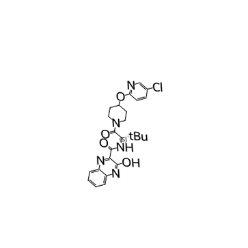 CC(C)(C)[C@H](NC(=O)c1nc2ccccc2nc1O)C(=O)N1CCC(Oc2ccc(Cl)cn2)CC1